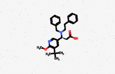 COc1ncc([C@@H](CC(=O)O)N(CCc2ccccc2)Cc2ccccc2)cc1C(C)(C)C